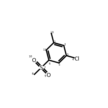 [CH2]c1cc(Cl)cc(S(C)(=O)=O)c1